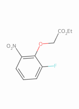 CCOC(=O)COc1c(F)cccc1[N+](=O)[O-]